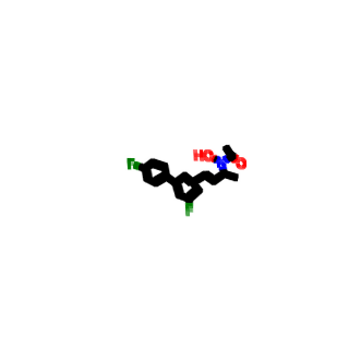 CC(=O)N(O)C(C)C=Cc1cc(F)cc(-c2ccc(F)cc2)c1